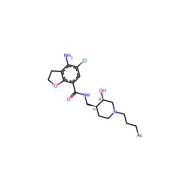 CC(=O)CCCN1CC[C@@H](CNC(=O)c2cc(Cl)c(N)c3c2OCC3)[C@@H](O)C1